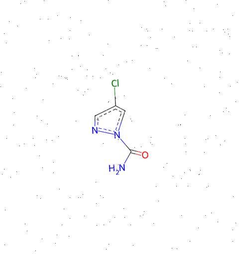 NC(=O)n1cc(Cl)cn1